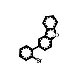 Brc1ccccc1-c1ccc2oc3ccccc3c2c1